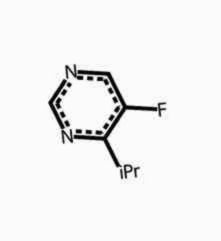 CC(C)c1ncncc1F